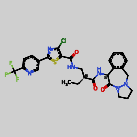 CC[C@H](CNC(=O)c1sc(-c2ccc(C(F)(F)F)nc2)nc1Cl)C(=O)N[C@@H]1C(=O)N2CCCN2Cc2ccccc21